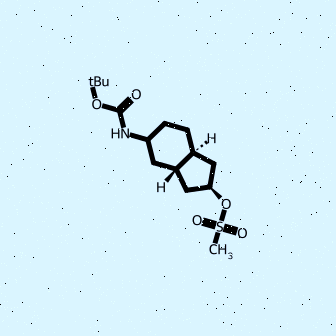 CC(C)(C)OC(=O)NC1CC[C@H]2C[C@@H](OS(C)(=O)=O)C[C@@H]2C1